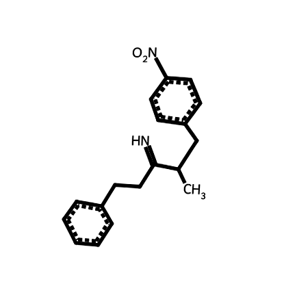 CC(Cc1ccc([N+](=O)[O-])cc1)C(=N)CCc1ccccc1